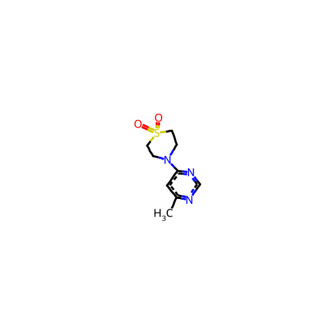 Cc1cc(N2CCS(=O)(=O)CC2)ncn1